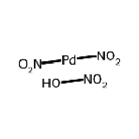 O=[N+]([O-])O.O=[N+]([O-])[Pd][N+](=O)[O-]